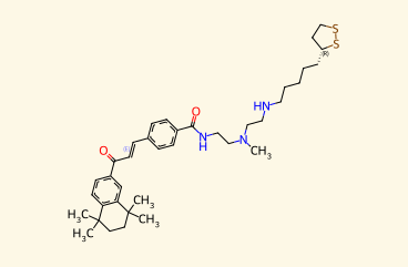 CN(CCNCCCCC[C@@H]1CCSS1)CCNC(=O)c1ccc(/C=C/C(=O)c2ccc3c(c2)C(C)(C)CCC3(C)C)cc1